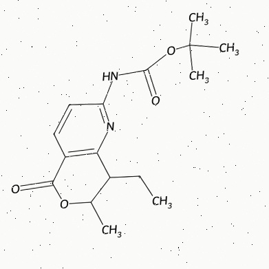 CCC1c2nc(NC(=O)OC(C)(C)C)ccc2C(=O)OC1C